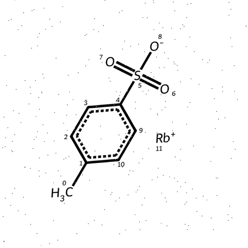 Cc1ccc(S(=O)(=O)[O-])cc1.[Rb+]